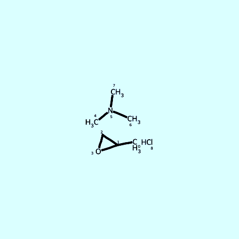 CC1CO1.CN(C)C.Cl